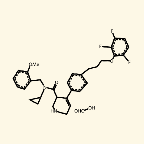 COc1ccccc1CN(C(=O)C1CNCC=C1c1ccc(CCCOc2c(F)ccc(F)c2F)cc1)C1CC1.O=CO